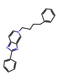 c1ccc(CCCCn2ccc3nc(-c4ccccc4)nc-3c2)cc1